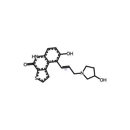 O=c1[nH]c2ccc(O)c(/C=C/CN3CCC(O)C3)c2c2ccsc12